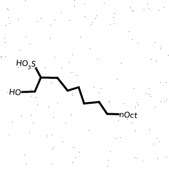 CCCCCCCCCCCCCCC(CO)S(=O)(=O)O